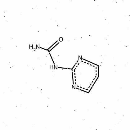 NC(=O)Nc1n[c]ccn1